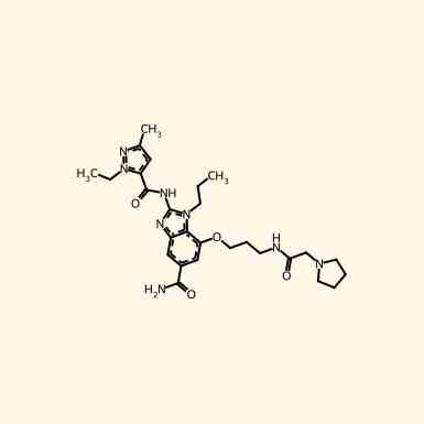 CCCn1c(NC(=O)c2cc(C)nn2CC)nc2cc(C(N)=O)cc(OCCCNC(=O)CN3CCCC3)c21